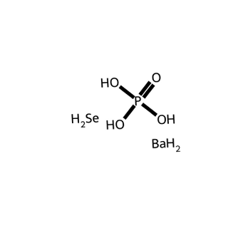 O=P(O)(O)O.[BaH2].[SeH2]